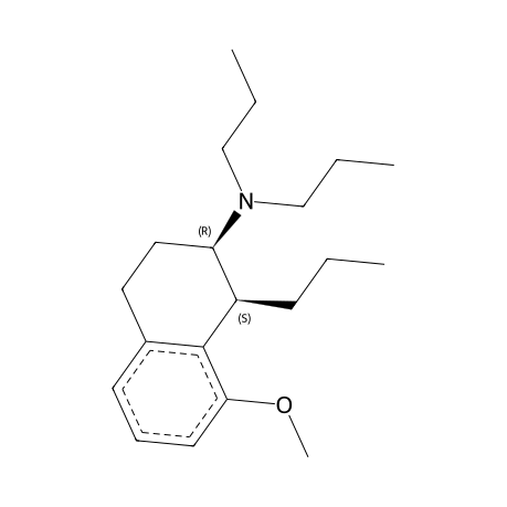 CCC[C@H]1c2c(cccc2OC)CC[C@H]1N(CCC)CCC